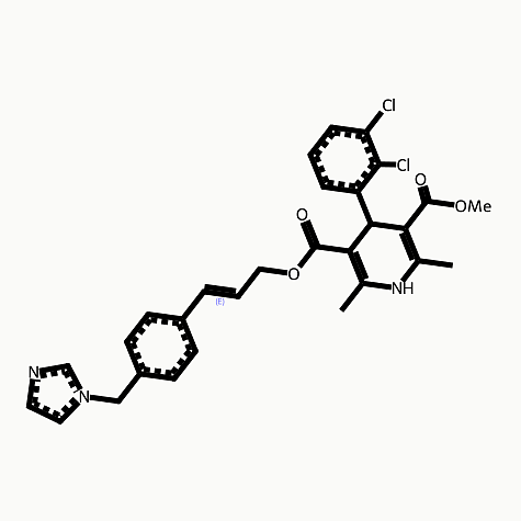 COC(=O)C1=C(C)NC(C)=C(C(=O)OC/C=C/c2ccc(Cn3ccnc3)cc2)C1c1cccc(Cl)c1Cl